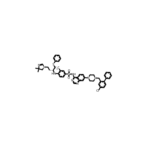 CC1(C)CN(CC[C@H](CSc2ccccc2)Nc2ccc(S(=O)(=O)Nc3ncnc4cc(N5CCN(Cc6cc(Cl)ccc6-c6ccccc6)CC5)ccc34)cc2C(F)(F)F)C=N1